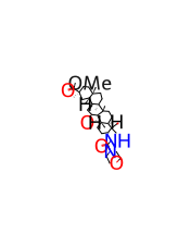 COC(=O)[C@@]1(C)CC[C@]2(C)CC[C@]3(C)C(=CC(=O)[C@@H]4[C@@]5(C)CCC(NC(=O)N6CCOCC6)C(C)(C)[C@@H]5CC[C@]43C)[C@@H]2C1